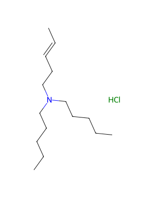 CC=CCCN(CCCCC)CCCCC.Cl